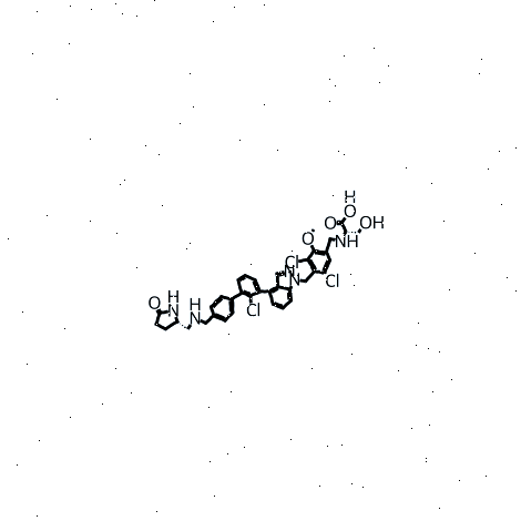 COc1c(CN[C@@H](CO)C(=O)O)cc(Cl)c(Cn2ncc3c(-c4cccc(-c5ccc(CNC[C@@H]6CCC(=O)N6)cc5)c4Cl)cccc32)c1Cl